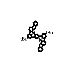 CC(C)(C)c1cc2c3cc4c(cc3n3c5c6c(ccc5c(c1)c23)-c1ccccc1C6)c1cc(C(C)(C)C)cc2c3ccc5c(c3n4c12)Cc1ccccc1-5